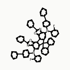 Fc1ccccc1N(c1ccc(-c2ccccc2)cc1)c1cc2c(c3oc(-c4ccccc4)nc13)-c1c(cc(N(c3ccc(-c4ccccc4)cc3)c3ccccc3F)c3nc(-c4ccccc4)oc13)C21c2ccccc2-c2ccccc21